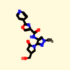 Cn1cc(NC(=O)c2coc(-c3c[c]ncc3)n2)c(N2CC(CO)CC2=O)n1